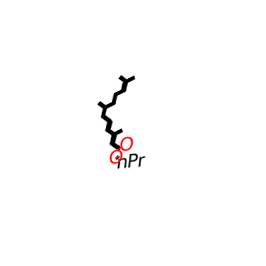 CCCOC(=O)/C=C(C)/C=C/CC(C)CCC=C(C)C